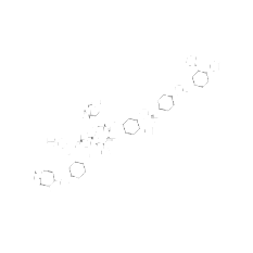 Cc1nc(C(=O)N2Cc3cc4c(cc3C[C@H]2C(=O)NC(Cc2ccc(Oc3ccnc(C)c3C)cc2)C(=O)O)OC[C@H](c2ccc(OCc3ccc(Cl)c(Cl)c3)cc2)O4)co1